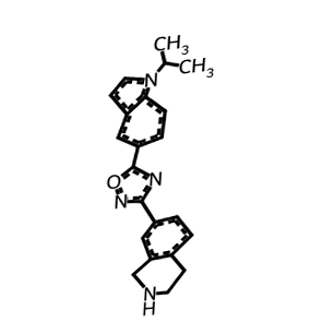 CC(C)n1ccc2cc(-c3nc(-c4ccc5c(c4)CNCC5)no3)ccc21